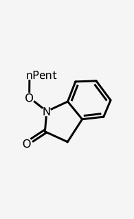 CCCCCON1C(=O)Cc2ccccc21